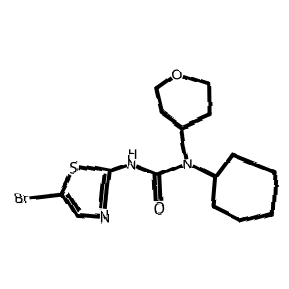 O=C(Nc1ncc(Br)s1)N(C1CCCCC1)C1CCOCC1